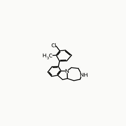 Cc1c(Cl)cccc1-c1cccc2c1N1CCNCCC1C2